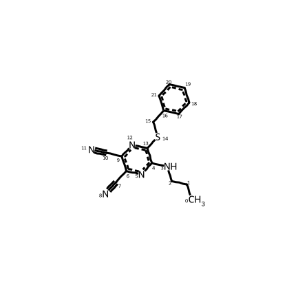 CCCNc1nc(C#N)c(C#N)nc1SCc1ccccc1